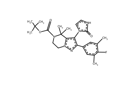 Cc1cc(-c2nn3c(c2-n2cc[nH]c2=O)C(C)(C)N(C(=O)OC(C)(C)C)CC3)cc(C)c1F